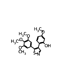 COc1ccc(-c2cnsc2-c2cc(OC)c(OC)c(OC)c2)c(O)c1